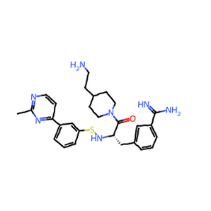 Cc1nccc(-c2cccc(SN[C@@H](Cc3cccc(C(=N)N)c3)C(=O)N3CCC(CCN)CC3)c2)n1